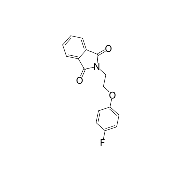 O=C1c2ccccc2C(=O)N1CCOc1ccc(F)cc1